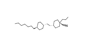 CCCCCCC[C@H]1CC[C@H](CC[C@H]2CC[C@@](C#N)(CCC)CC2)CC1